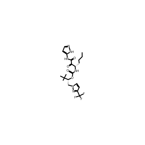 CCCC[C@H](NC(=O)O[C@H](Cn1ccc(C(F)(F)F)n1)C(C)(C)C)C(=O)C(=O)Nc1ccn[nH]1